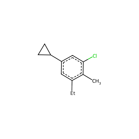 CCc1cc(C2CC2)cc(Cl)c1C